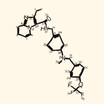 CCc1nc2ccccn2c1C(=O)NCc1ccc(N(C)Cc2ccc(OC(F)(F)F)cc2)cc1